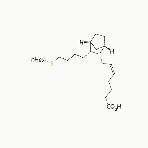 CCCCCCSCCCC[C@@H]1[C@@H]2CC[C@@H](C2)[C@@H]1C/C=C\CCCC(=O)O